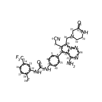 N#CCc1c(-c2ccc(NC(=O)Nc3cc(C(F)(F)F)ccc3F)cc2)c2c(N)ncnn2c1CN1CCNC(=O)C1